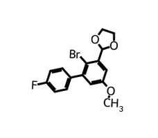 COc1cc(-c2ccc(F)cc2)c(Br)c(C2OCCO2)c1